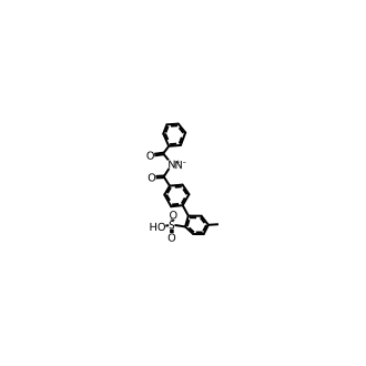 Cc1ccc(S(=O)(=O)O)c(-c2ccc(C(=O)[N+](=[N-])C(=O)c3ccccc3)cc2)c1